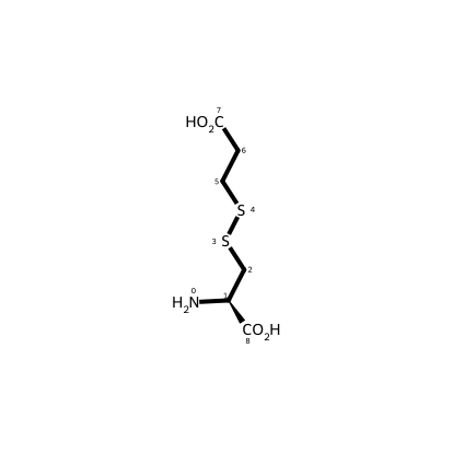 N[C@@H](CSSCCC(=O)O)C(=O)O